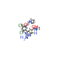 CCNC(O)c1cc2c(-c3cc(OCCN4CCCC4)c(Cl)cc3Cl)nc(N)nc2s1